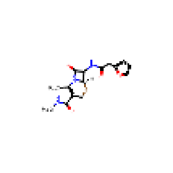 CONC(=O)C1=C(C(=O)O)N2C(=O)C(NC(=O)Cc3ccco3)[C@H]2SC1